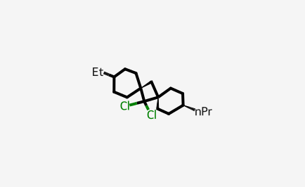 CCC[C@H]1CC[C@]2(CC1)C[C@@]1(CCC(CC)CC1)C2(Cl)Cl